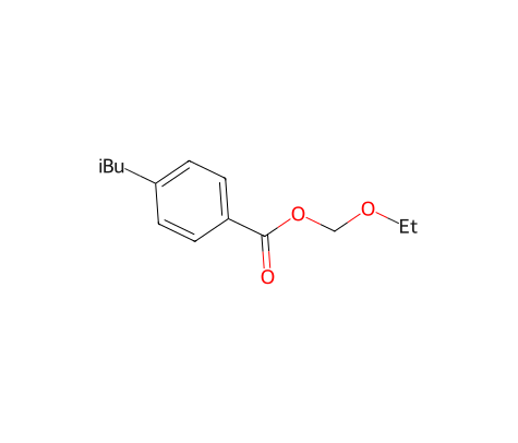 CCOCOC(=O)c1ccc(C(C)CC)cc1